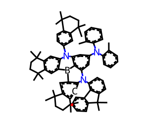 Cc1ccccc1N(c1cc2c3c(c1)N(c1cccc4c1-c1ccccc1C4(C)C)c1cc4c(cc1B3c1cc3c(cc1N2c1ccc2c(c1)C(C)(C)CCC2(C)C)C(C)(C)CCC3(C)C)C(C)(C)CCC4(C)C)c1ccccc1C